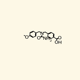 COc1ccc(CN(Cc2ccc(C(=O)O)cc2)C(N)=O)cc1